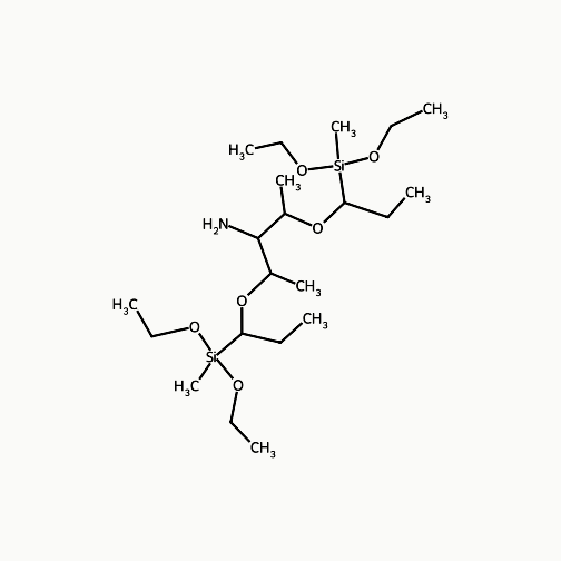 CCO[Si](C)(OCC)C(CC)OC(C)C(N)C(C)OC(CC)[Si](C)(OCC)OCC